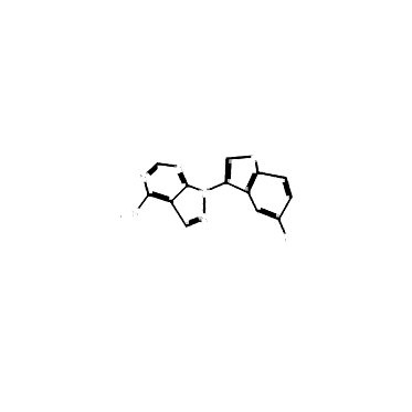 Nc1ncnc2c1cnn2-c1csc2ccc(F)cc12